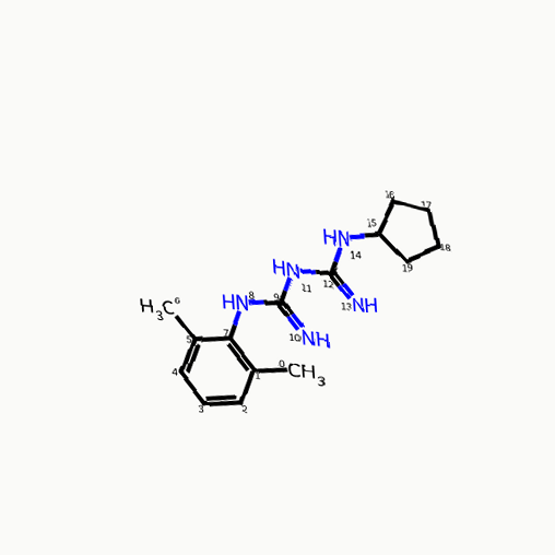 Cc1cccc(C)c1NC(=N)NC(=N)NC1CCCC1